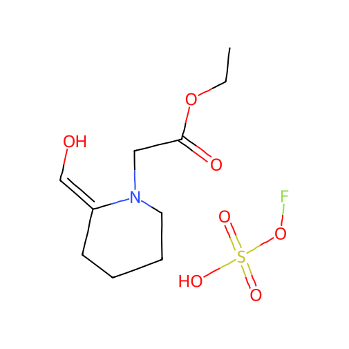 CCOC(=O)CN1CCCCC1=CO.O=S(=O)(O)OF